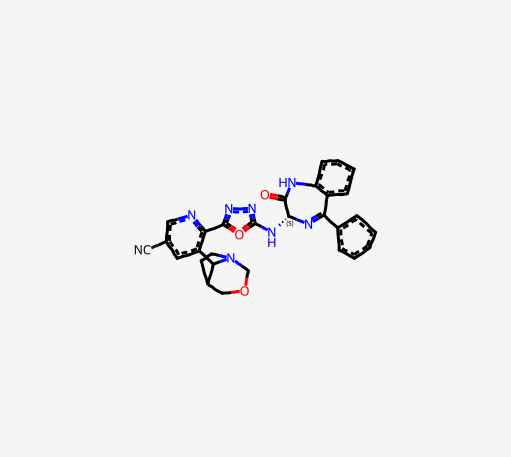 N#Cc1cnc(-c2nnc(N[C@H]3N=C(c4ccccc4)c4ccccc4NC3=O)o2)c(C2C3CCN2COC3)c1